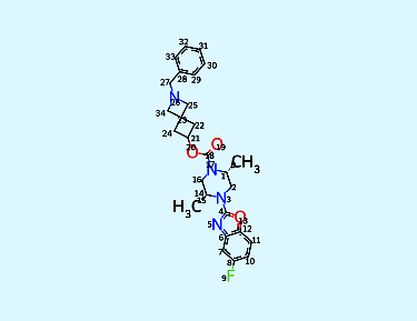 C[C@@H]1CN(c2nc3cc(F)ccc3o2)[C@@H](C)CN1C(=O)OC1CC2(C1)CN(Cc1ccccc1)C2